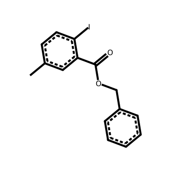 Cc1ccc(I)c(C(=O)OCc2ccccc2)c1